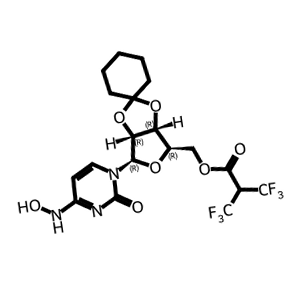 O=C(OC[C@H]1O[C@@H](n2ccc(NO)nc2=O)[C@@H]2OC3(CCCCC3)O[C@@H]21)C(C(F)(F)F)C(F)(F)F